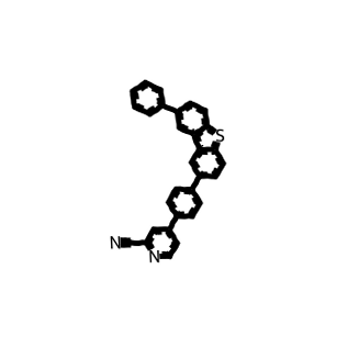 N#Cc1cc(-c2ccc(-c3ccc4sc5ccc(-c6ccccc6)cc5c4c3)cc2)ccn1